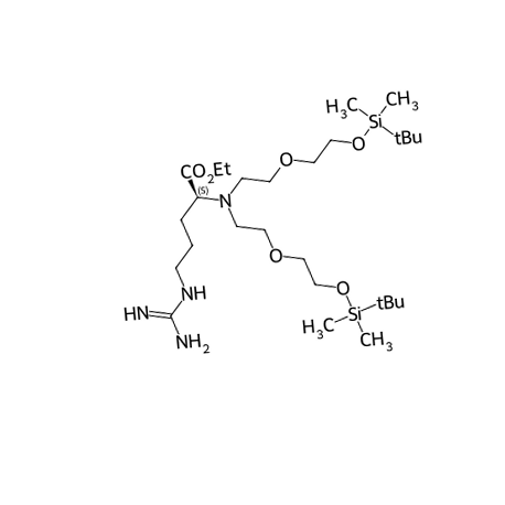 CCOC(=O)[C@H](CCCNC(=N)N)N(CCOCCO[Si](C)(C)C(C)(C)C)CCOCCO[Si](C)(C)C(C)(C)C